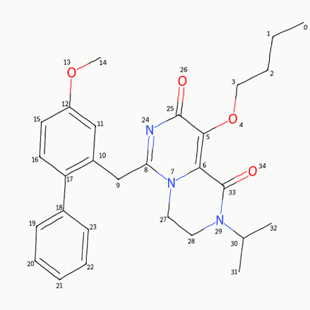 CCCCOc1c2n(c(Cc3cc(OC)ccc3-c3ccccc3)nc1=O)CCN(C(C)C)C2=O